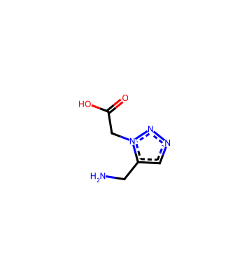 NCc1cnnn1CC(=O)O